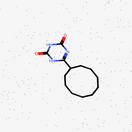 O=c1nc(C2CCCCCCCCC2)[nH]c(=O)[nH]1